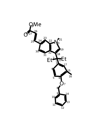 CCC(CC)(c1ccc(OCc2ccccc2)c(C)c1)c1cn(C)c2cc(C=CC(=O)OC)ccc12